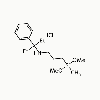 CCC(CC)(NCCC[Si](C)(OC)OC)c1ccccc1.Cl